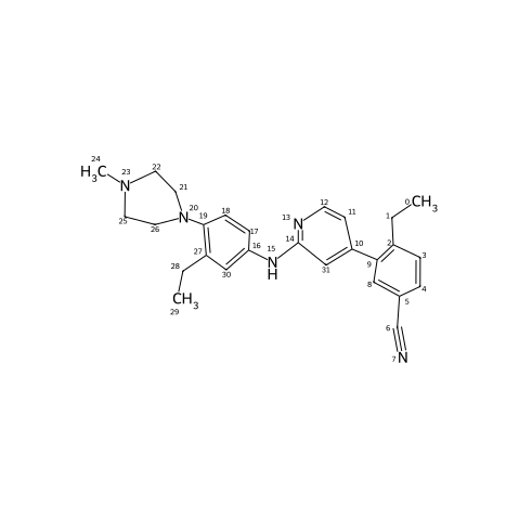 CCc1ccc(C#N)cc1-c1ccnc(Nc2ccc(N3CCN(C)CC3)c(CC)c2)c1